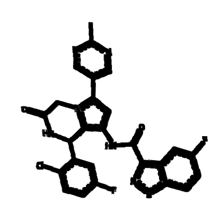 Cc1ncc(-c2cc(NC(=O)c3nsc4ccc(F)cc34)c3n2CC(=O)NC3c2cc(F)ccc2Cl)cn1